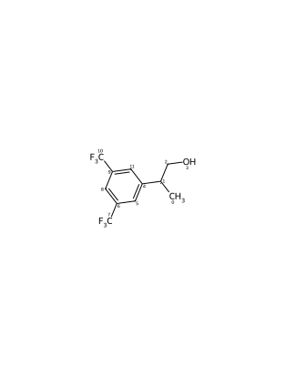 C[C](CO)c1cc(C(F)(F)F)cc(C(F)(F)F)c1